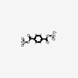 O=C(O[SH](=O)=O)c1ccc(C(=O)O[SH](=O)=O)cc1